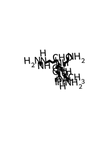 CC(C)C[C@H](NC(=O)[C@H](C)N)C(=O)N[C@@H](CCCCN)C(=O)N[C@H]([C]=O)CCCNC(=N)N